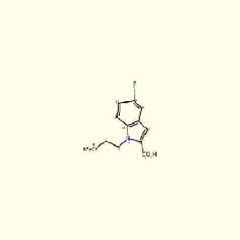 COCCn1c(C(=O)O)cc2cc(F)ccc21